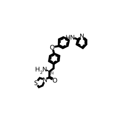 N[C@@H](Cc1ccc(Oc2ccc(Nc3ccccn3)cc2)cc1)C(=O)N1CCSC1